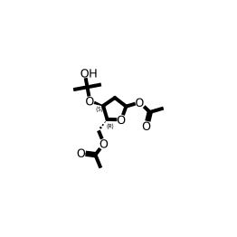 CC(=O)OC[C@H]1OC(OC(C)=O)C[C@@H]1OC(C)(C)O